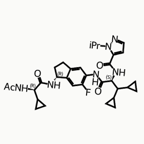 CC(=O)N[C@@H](C(=O)N[C@@H]1CCc2cc(NC(=O)[C@@H](NC(=O)c3ccnn3C(C)C)C(C3CC3)C3CC3)c(F)cc21)C1CC1